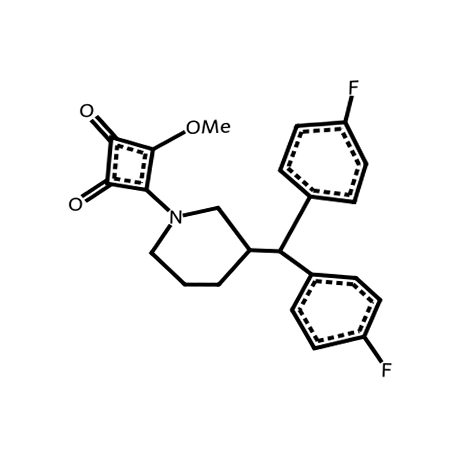 COc1c(N2CCCC(C(c3ccc(F)cc3)c3ccc(F)cc3)C2)c(=O)c1=O